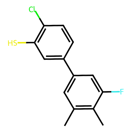 Cc1cc(-c2ccc(Cl)c(S)c2)cc(F)c1C